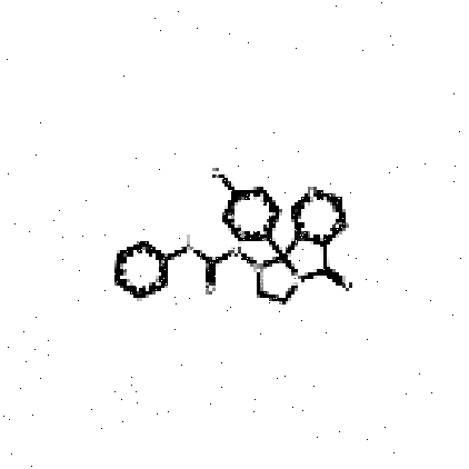 O=C(Nc1ccccc1)ON1CCN2C(=O)c3ccncc3C12c1ccc(Cl)cc1